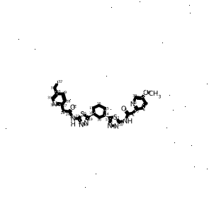 COc1ccc(CC(=O)Nc2nnc([C@H]3CCC[C@H](c4nnc(NC(=O)Cc5ccc(CI)cn5)s4)C3)s2)nc1